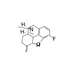 C=C1CC[C@H]2[C@H]3Cc4ccc(F)c5c4[C@@]2(CCN3C)[C@H]1O5